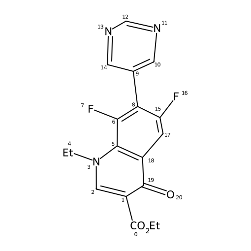 CCOC(=O)c1cn(CC)c2c(F)c(-c3cncnc3)c(F)cc2c1=O